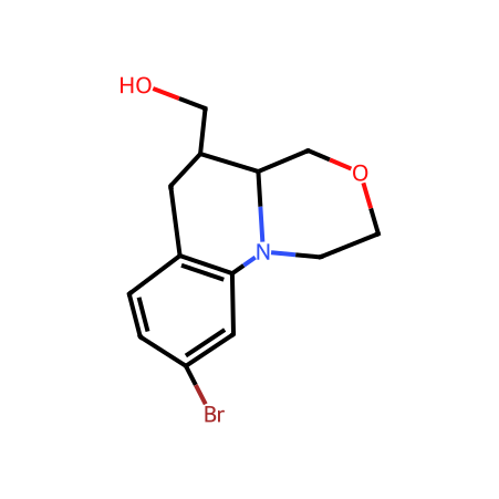 OCC1Cc2ccc(Br)cc2N2CCOCC12